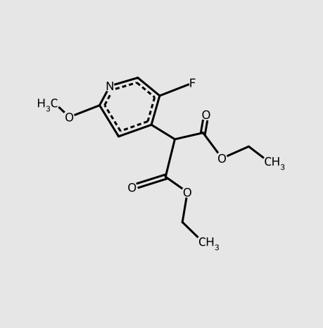 CCOC(=O)C(C(=O)OCC)c1cc(OC)ncc1F